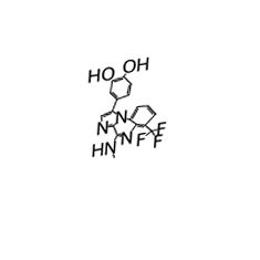 CNc1nc2c(C(F)(F)F)cccc2n2c(-c3ccc(O)c(O)c3)cnc12